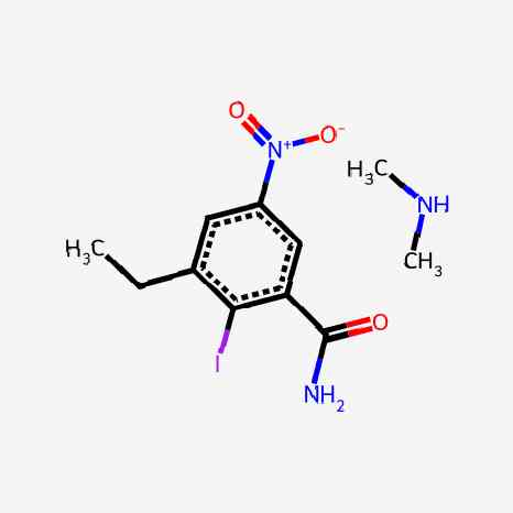 CCc1cc([N+](=O)[O-])cc(C(N)=O)c1I.CNC